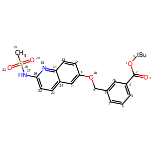 CC(C)(C)OC(=O)c1cccc(COc2ccc3nc(NS(C)(=O)=O)ccc3c2)c1